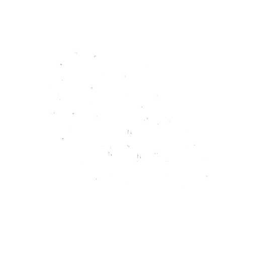 C/C=C\c1c(C)c2ccc3c4c(oc3c2n1-c1nc(-c2ccccc2)c2ccc3ccccc3c2n1)-c1ccccc1C4(C)C